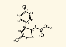 COC(=O)CC1CCC(=O)C=C1c1ccc(Cl)cc1